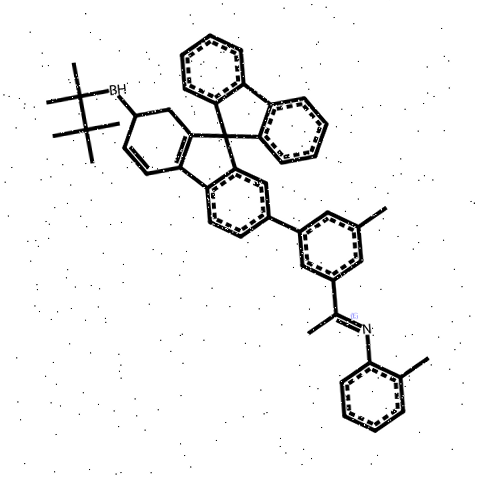 C/C(=N\c1ccccc1C)c1cc(C)cc(-c2ccc3c(c2)C2(C4=C3C=CC(BC(C)(C)C(C)(C)C)C4)c3ccccc3-c3ccccc32)c1